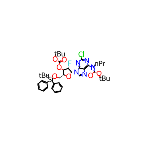 CCCN(C(=O)OC(C)(C)C)c1nc(Cl)nc2c1ncn2[C@@H]1O[C@H](CO[Si](c2ccccc2)(c2ccccc2)C(C)(C)C)[C@@H](OC(=O)OC(C)(C)C)[C@@H]1F